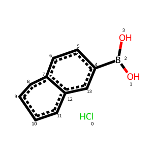 Cl.OB(O)c1ccc2ccccc2c1